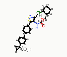 Cc1nsc(-c2ccc(-c3ccc(C4(C(=O)O)CC4)cc3)cc2)c1NC(=O)OCc1ccccc1Cl